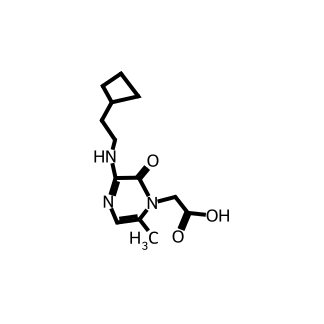 Cc1cnc(NCCC2CCC2)c(=O)n1CC(=O)O